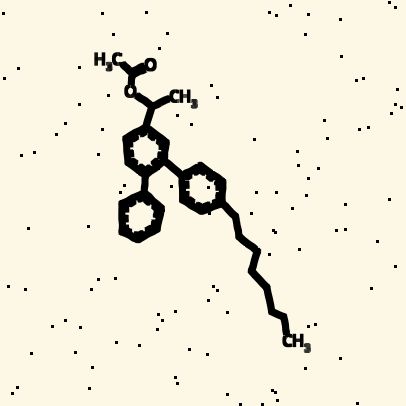 CCCCCCCCc1ccc(-c2cc(C(C)OC(C)=O)ccc2-c2ccccc2)cc1